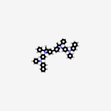 Cc1c(-c2ccccc2)n(-c2ccc(N(c3ccccc3)c3ccc4ccccc4c3)cc2)c2ccc(-c3ccc4c(c3)c(C)c(-c3ccccc3)n4-c3ccc(N(c4ccccc4)c4ccc5ccccc5c4)cc3)cc12